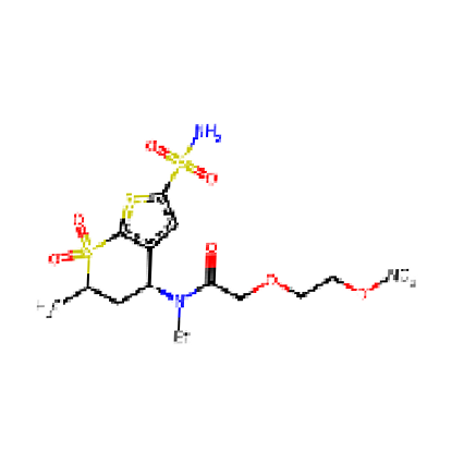 CCN(C(=O)COCCO[N+](=O)[O-])[C@H]1CC(C)S(=O)(=O)c2sc(S(N)(=O)=O)cc21